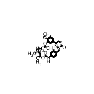 COc1ccc(C2=NN(Cc3ccc(NC(=O)OC(C)CN(C)C)cc3)C(=O)SC2)cc1OC(C)C